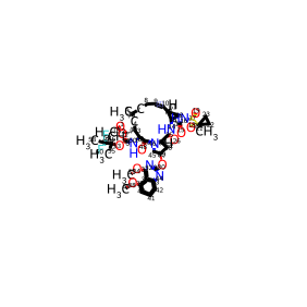 COC[C@@H]1C[C@H](C)CC/C=C\[C@@H]2C[C@@]2(C(=O)NS(=O)(=O)C2(C)CC2)NC(=O)[C@@H]2C[C@@H](Oc3nc(OC)c4c(OC)cccc4n3)CN2C(=O)[C@H]1NC(=O)OC(C)(C)C(C)(F)F